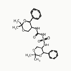 CC1(C)OCC(NC(=O)NS(=O)(=O)NC2COC(C)(C)OC2c2ccccc2)C(c2ccccc2)O1